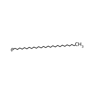 CCCCCCCCCCCCCCCCCCCCCCCCCCC[P]